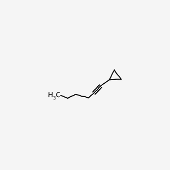 CCCCC#CC1CC1